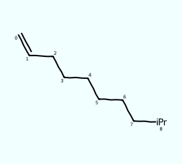 C=CCCCCCCC(C)C